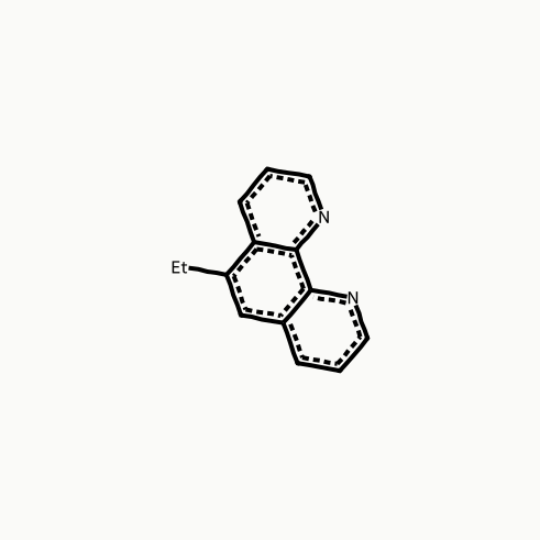 CCc1cc2cccnc2c2ncccc12